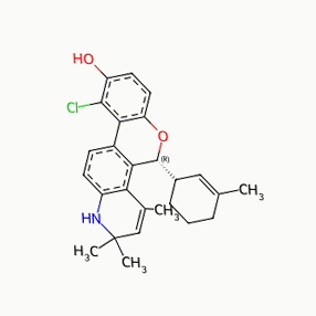 CC1=CC([C@H]2Oc3ccc(O)c(Cl)c3-c3ccc4c(c32)C(C)=CC(C)(C)N4)CCC1